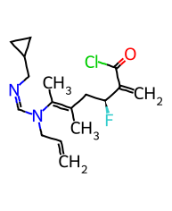 C=CCN(/C=N\CC1CC1)/C(C)=C(\C)C[C@H](F)C(=C)C(=O)Cl